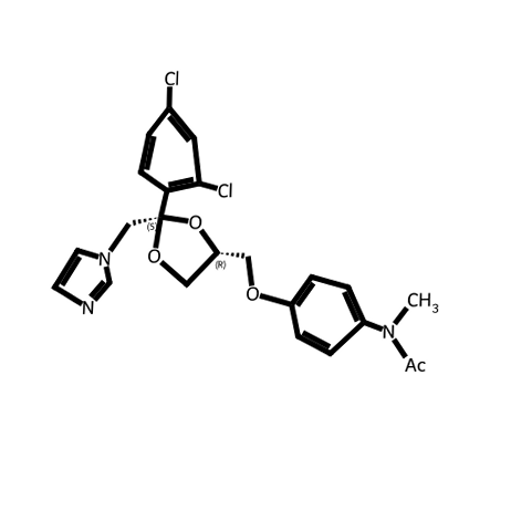 CC(=O)N(C)c1ccc(OC[C@@H]2CO[C@@](Cn3ccnc3)(c3ccc(Cl)cc3Cl)O2)cc1